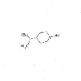 CC(=O)N1CCC(C(C)C(C)(C)C)CC1